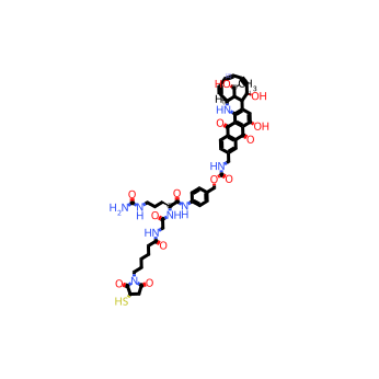 C[C@@H](O)C1C2c3cc(O)c4c(c3N[C@H]1C#C/C=C\C#C[C@H]2O)C(=O)c1ccc(CNC(=O)OCc2ccc(NC(=O)[C@H](CCCNC(N)=O)NC(=O)CNC(=O)CCCCCN3C(=O)CC(S)C3=O)cc2)cc1C4=O